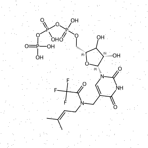 CC(C)=CCN(Cc1cn([C@@H]2O[C@H](COP(=O)(O)OP(=O)(O)OP(=O)(O)O)C(O)[C@@H]2O)c(=O)[nH]c1=O)C(=O)C(F)(F)F